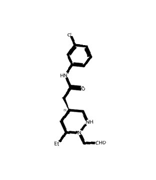 CCC1C[C@@H](CC(=O)Nc2cccc(Cl)c2)CNN1CC=O